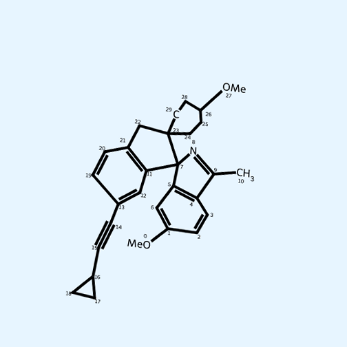 COc1ccc2c(c1)C1(N=C2C)c2cc(C#CC3CC3)ccc2CC12CCC(OC)CC2